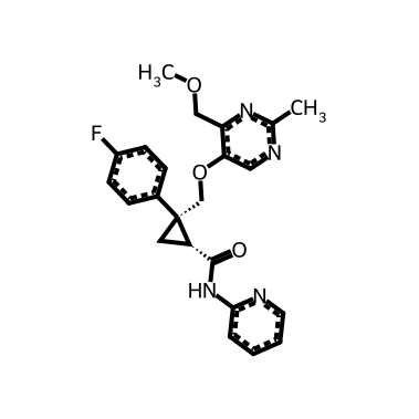 COCc1nc(C)ncc1OC[C@@]1(c2ccc(F)cc2)C[C@H]1C(=O)Nc1ccccn1